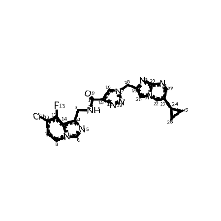 O=C(NCc1ncn2ccc(Cl)c(F)c12)c1cn(Cc2cn3cc(C4CC4)cnc3n2)nn1